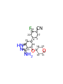 N#Cc1ccc(-c2cc(OC3CCOCC3)c3c(N)n[nH]c3c2)cc1F